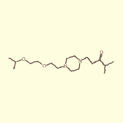 CC(C)OCCOCCN1CCN(CCC(=O)C(C)C)CC1